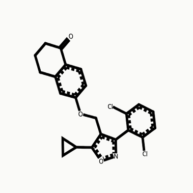 O=C1CCCc2cc(OCc3c(-c4c(Cl)cccc4Cl)noc3C3CC3)ccc21